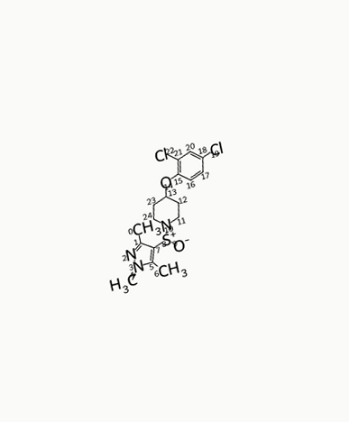 Cc1nn(C)c(C)c1[S+]([O-])N1CCC(Oc2ccc(Cl)cc2Cl)CC1